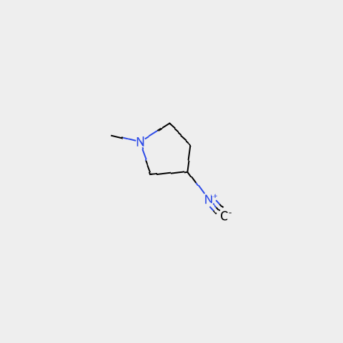 [C-]#[N+]C1CCN(C)C1